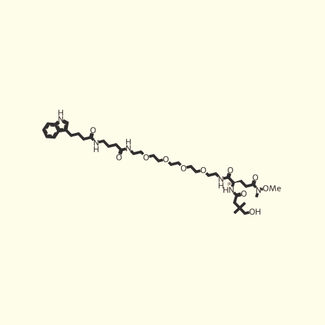 CON(C)C(=O)CC[C@@H](NC(=O)CC(C)(C)CO)C(=O)NCCOCCOCCOCCOCCNC(=O)CCCNC(=O)CCCc1c[nH]c2ccccc12